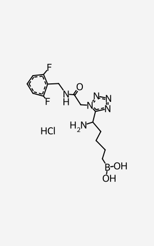 Cl.NC(CCCCB(O)O)c1nnnn1CC(=O)NCc1c(F)cccc1F